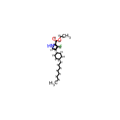 CCCCCCCC[C@H]1CC[C@H](c2c[nH]c(C(=O)OCC)c2F)CC1